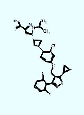 CC(C)n1nc(C(=O)O)cc1[C@H]1C[C@@H](c2ccc(OCC3C(c4c(Cl)cccc4Cl)=NOC3C3CC3)cc2Cl)C1